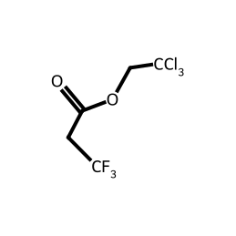 O=C(CC(F)(F)F)OCC(Cl)(Cl)Cl